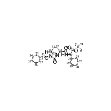 CC(C)(C)OC(=O)[C@H](NC(=O)[C@@H]1CC[C@H]2CN1C(=O)N2OCc1ccccc1)c1ccccc1